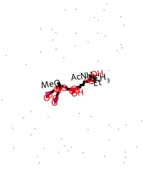 CCC1O[C@@H](OCCCCCCOP(=O)(O)OCCCOCC(COC)(COCCCOP=O)COCCCOP=O)C(NC(C)=O)C(O)[C@H]1C